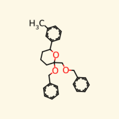 Cc1cccc(C2CCCC(COCc3ccccc3)(OCc3ccccc3)O2)c1